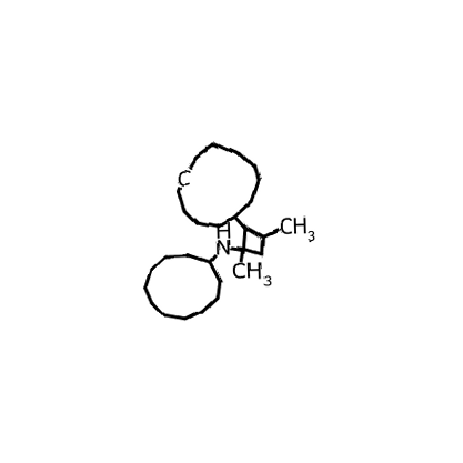 CC1CC(C)(NC2CCCCCCCCCC2)C1C1CCCCCCCCCCC1